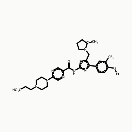 CCOc1ccc(-c2nc(NC(=O)c3cnc(N4CCN(CCC(=O)O)CC4)cn3)sc2CN2CCC[C@H]2C)cc1C(F)(F)F